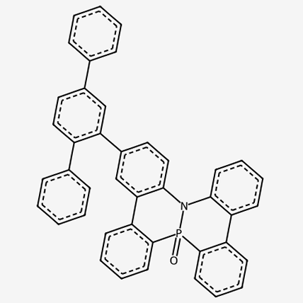 O=P12c3ccccc3-c3ccccc3N1c1ccc(-c3cc(-c4ccccc4)ccc3-c3ccccc3)cc1-c1ccccc12